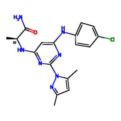 Cc1cc(C)n(-c2nc(Nc3ccc(Cl)cc3)cc(N[C@@H](C)C(N)=O)n2)n1